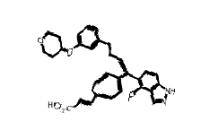 O=C(O)C=Cc1ccc(C(=CCCc2cccc(OC3CCOCC3)c2)c2ccc3[nH]ncc3c2F)cc1